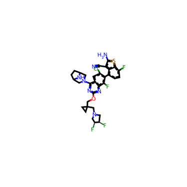 N#Cc1c(N)sc2c(F)ccc(-c3c(Cl)cc4c(N5CC6CCC(C5)N6)nc(OCC5(CN6C[C@@H](F)[C@@H](F)C6)CC5)nc4c3F)c12